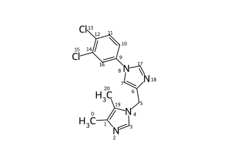 Cc1ncn(Cc2cn(-c3ccc(Cl)c(Cl)c3)cn2)c1C